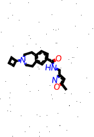 Cc1cc(CNC(=O)c2ccc3c(c2)CCN(C2CCC2)CC3)no1